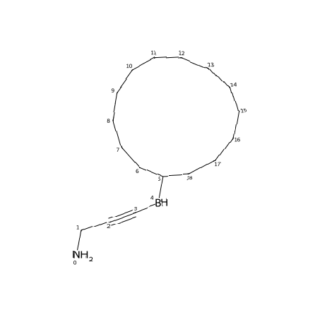 NCC#CBC1CCCCCCCCCCCCC1